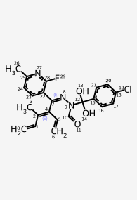 C=C/C(C)=C(C=C)/C(=N\N(C=O)C(O)(O)c1ccc(Cl)cc1)c1ccc(C)nc1F